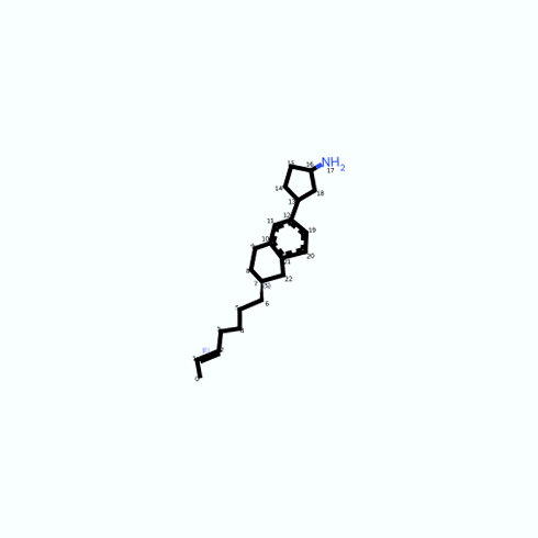 C/C=C/CCCC[C@H]1CCc2cc(C3CCC(N)C3)ccc2C1